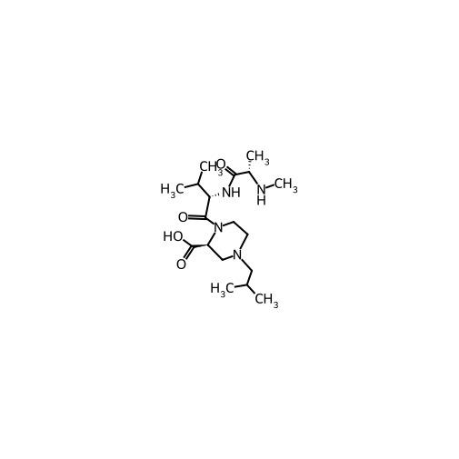 CN[C@@H](C)C(=O)N[C@H](C(=O)N1CCN(CC(C)C)C[C@H]1C(=O)O)C(C)C